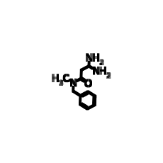 CN(Cc1ccccc1)C(=O)CC(N)N